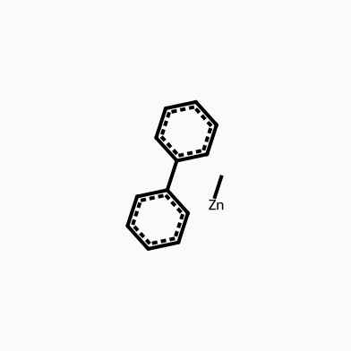 [CH3][Zn].c1ccc(-c2ccccc2)cc1